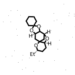 CC[C@H]1CC[C@@H]2O[C@@H]3CC2(C[C@H]2OC4(CCCCC4)OC32)O1